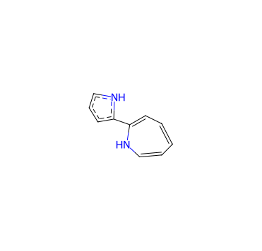 C1=CC=C(c2ccc[nH]2)NC=C1